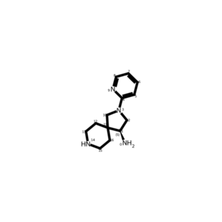 N[C@@H]1CN(c2ccccn2)CC12CCNCC2